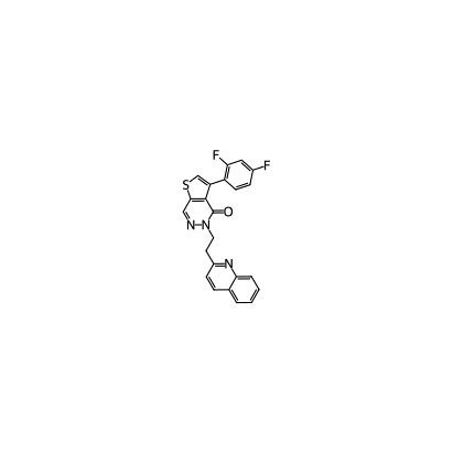 O=c1c2c(-c3ccc(F)cc3F)csc2cnn1CCc1ccc2ccccc2n1